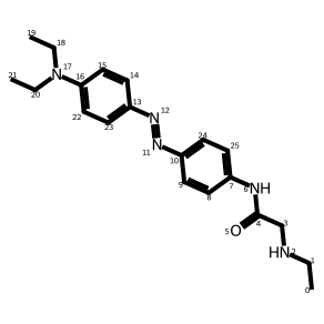 CCNCC(=O)Nc1ccc(/N=N/c2ccc(N(CC)CC)cc2)cc1